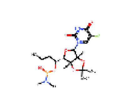 CCCCCCCCCC1(CCCCCCCCC)O[C@@H]2[C@H](O1)[C@H](C(CCC#N)OP(O)N(C(C)C)C(C)C)O[C@H]2n1cc(F)c(=O)[nH]c1=O